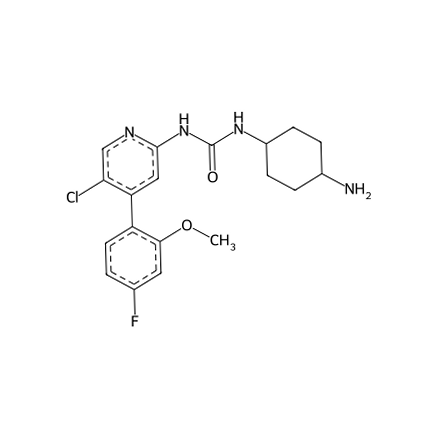 COc1cc(F)ccc1-c1cc(NC(=O)NC2CCC(N)CC2)ncc1Cl